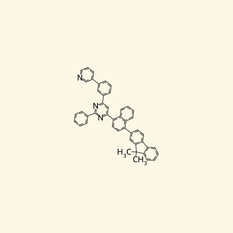 CC1(C)c2ccccc2-c2ccc(-c3ccc(-c4cc(-c5cccc(-c6cccnc6)c5)nc(-c5ccccc5)n4)c4ccccc34)cc21